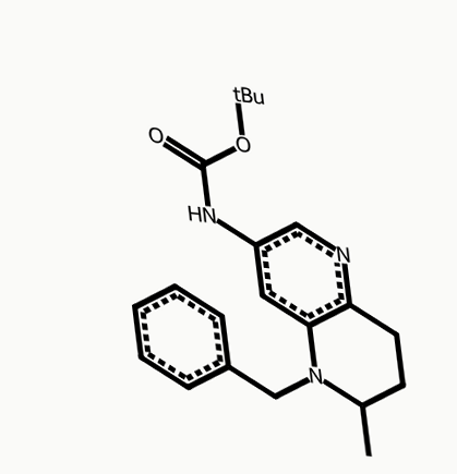 CC1CCc2ncc(NC(=O)OC(C)(C)C)cc2N1Cc1ccccc1